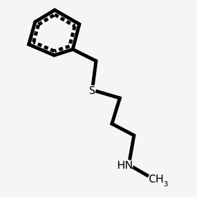 CNCCCSCc1ccccc1